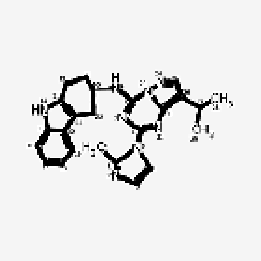 Cc1nccn1-c1nc(N[C@@H]2CCc3[nH]c4ccccc4c3C2)n2ncc(C(C)C)c2n1